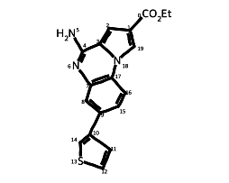 CCOC(=O)c1cc2c(N)nc3cc(-c4ccsc4)ccc3n2c1